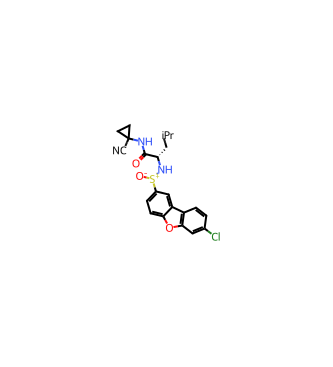 CC(C)C[C@H](N[S+]([O-])c1ccc2oc3cc(Cl)ccc3c2c1)C(=O)NC1(C#N)CC1